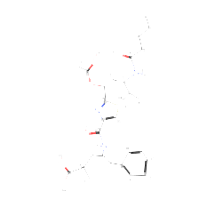 CCCCC(=O)N(C)[C@H](C[C@@H](OC(C)=O)c1nc(C(=O)N[C@@H](Cc2ccccc2)CC(C)C(=O)O)cs1)C(C)C